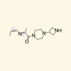 C/C=C\N=C(/C)C(=O)N1CCN(C2CNC2)CC1